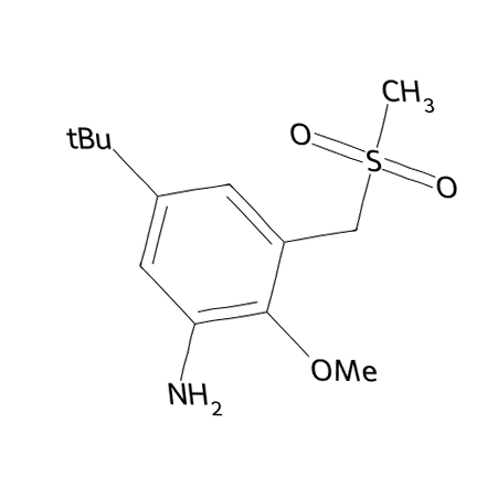 COc1c(N)cc(C(C)(C)C)cc1CS(C)(=O)=O